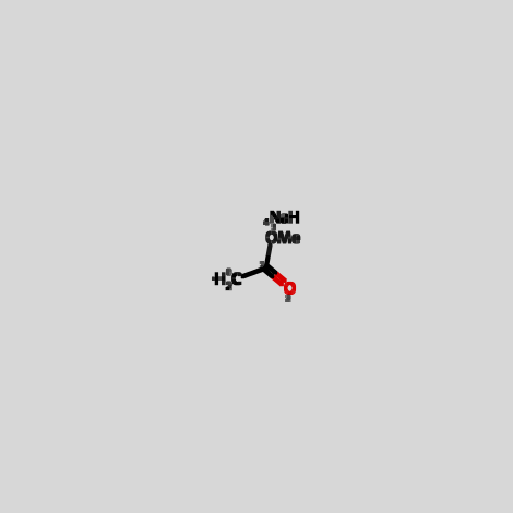 [CH2]C(=O)OC.[NaH]